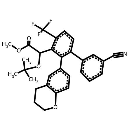 COC(=O)C(OC(C)(C)C)c1c(C(F)(F)F)ccc(-c2cccc(C#N)c2)c1-c1ccc2c(c1)CCCO2